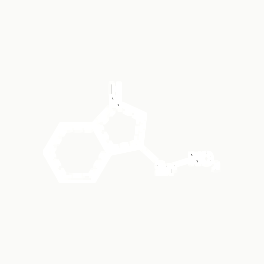 O=[N+]([O-])[Sn][c]1c[nH]c2ccccc12